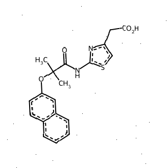 CC(C)(Oc1ccc2ccccc2c1)C(=O)Nc1nc(CC(=O)O)cs1